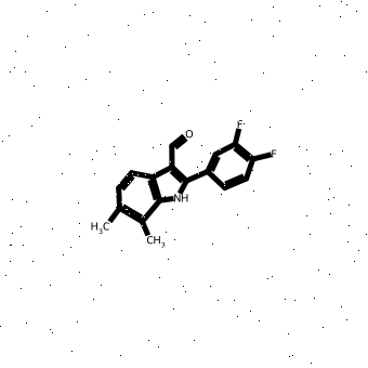 Cc1ccc2c(C=O)c(-c3ccc(F)c(F)c3)[nH]c2c1C